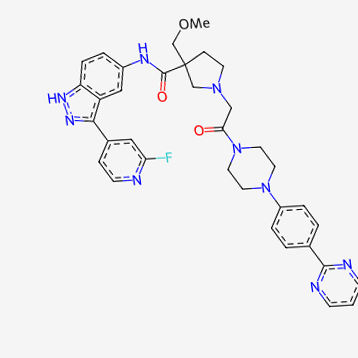 COCC1(C(=O)Nc2ccc3[nH]nc(-c4ccnc(F)c4)c3c2)CCN(CC(=O)N2CCN(c3ccc(-c4ncccn4)cc3)CC2)C1